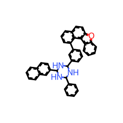 c1ccc(C2NC(c3cccc(-c4cccc5ccc6oc7ccccc7c6c45)c3)NC(c3ccc4ccccc4c3)N2)cc1